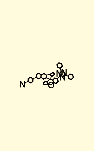 N#Cc1ccc(-c2ccc3cc4c(cc3c2)C2(c3ccccc3Oc3ccc(-c5nc(-c6ccccc6)nc(-c6ccccc6)n5)cc32)c2ccccc2-4)cc1